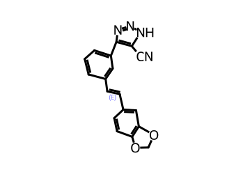 N#Cc1[nH]nnc1-c1cccc(/C=C/c2ccc3c(c2)OCO3)c1